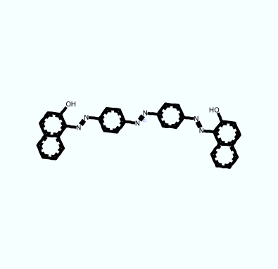 Oc1ccc2ccccc2c1N=Nc1ccc(/N=N/c2ccc(N=Nc3c(O)ccc4ccccc34)cc2)cc1